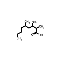 CCCCC(C)CC(N)C(C)C(=O)O